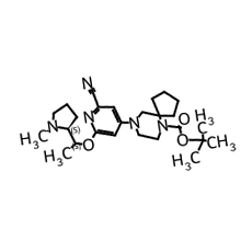 C[C@H](Oc1cc(N2CCN(C(=O)OC(C)(C)C)C3(CCCC3)C2)cc(C#N)n1)[C@@H]1CCCN1C